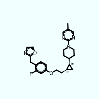 Cc1cnc(N2CCC([C@H]3C[C@H]3CCOc3ccc(Cc4ncco4)c(F)c3)CC2)nc1